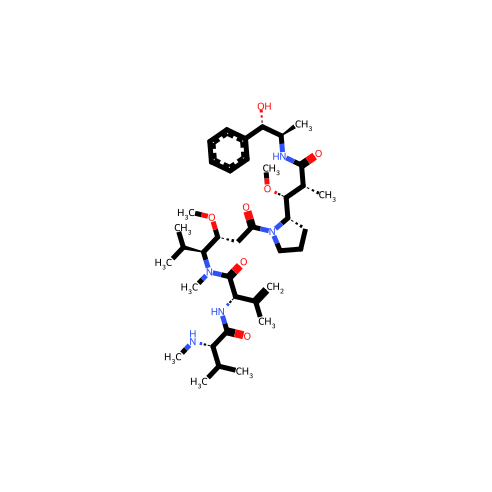 C=C(C)[C@H](NC(=O)[C@@H](NC)C(C)C)C(=O)N(C)[C@@H](C(C)C)[C@@H](CC(=O)N1CCC[C@H]1[C@H](OC)[C@@H](C)C(=O)N[C@H](C)[C@@H](O)c1ccccc1)OC